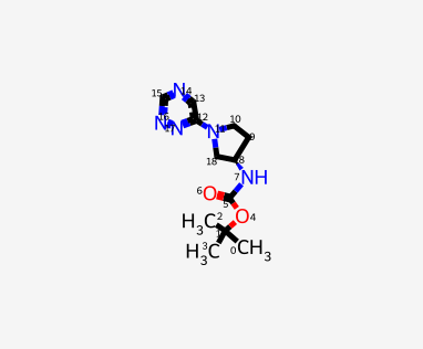 CC(C)(C)OC(=O)N[C@@H]1CCN(c2cncnn2)C1